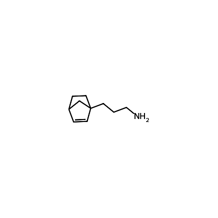 NCCCC12C=CC(CC1)C2